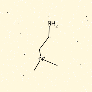 C[N+](C)C[CH]N